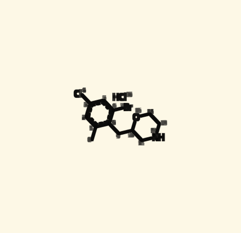 Cc1cc(Cl)cc(Br)c1CC1CNCCO1.Cl